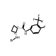 O=C(Nc1ccc(F)c(C(F)(F)F)c1)[C@H]1CC[C@H]1NBr